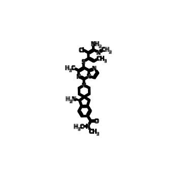 C=N/C(N)=C(Cl)\C(=C/C)Sc1c(C)nc(N2CCC3(CC2)Cc2cc(C(=O)N(C)C)ccc2[C@H]3N)n2ccnc12